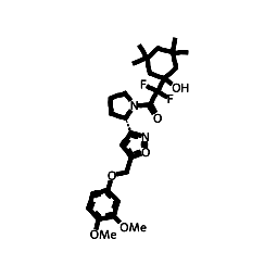 COc1ccc(OCc2cc([C@@H]3CCCN3C(=O)C(F)(F)C3(O)CC(C)(C)CC(C)(C)C3)no2)cc1OC